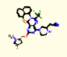 CN1C[C@H](F)C[C@H]1COc1nc(N2CCNC(CC#N)C2)c2nc(C(F)(F)F)n(-c3cccc4cccc(Cl)c34)c(=O)c2n1